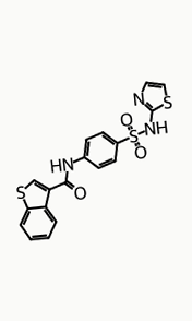 O=C(Nc1ccc(S(=O)(=O)Nc2nccs2)cc1)c1csc2ccccc12